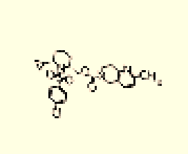 Cc1ccc2c(n1)CCN(C(=O)OC[C@H]1CCC[C@@H](C3CC3)N1S(=O)(=O)c1ccc(Cl)cc1)C2